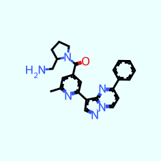 Cc1cc(C(=O)N2CCCC2CN)cc(-c2cnn3ccc(-c4ccccc4)nc23)n1